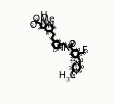 COC(=O)c1cc2cc(CCc3cccc(CNC(=O)c4ccc(CN5CCN(C)CC5)c(CF)c4)c3)cnc2[nH]1